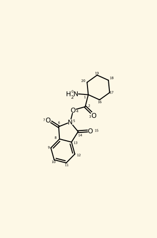 NC1(C(=O)ON2C(=O)c3ccccc3C2=O)CCCCC1